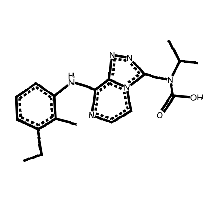 CCc1cccc(Nc2nccn3c(N(C(=O)O)C(C)C)nnc23)c1C